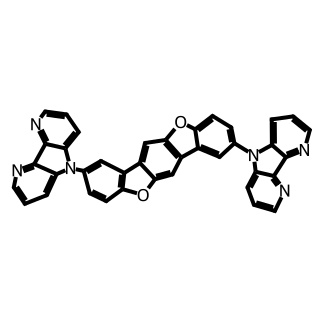 c1cnc2c3ncccc3n(-c3ccc4oc5cc6c(cc5c4c3)oc3ccc(-n4c5cccnc5c5ncccc54)cc36)c2c1